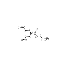 CC(C)CCSC(=S)N(CCCCl)CCC(C)C